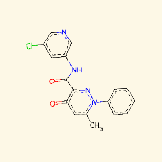 Cc1cc(=O)c(C(=O)Nc2cncc(Cl)c2)nn1-c1ccccc1